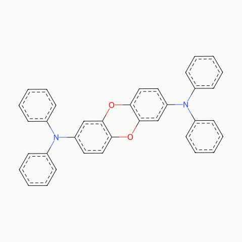 c1ccc(N(c2ccccc2)c2ccc3c(c2)Oc2ccc(N(c4ccccc4)c4ccccc4)cc2O3)cc1